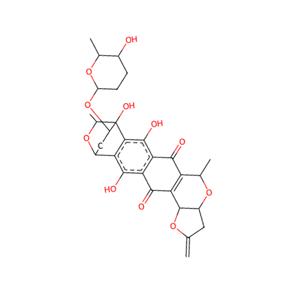 C=C1CC2OC(C)C3=C(C(=O)c4c(O)c5c(c(O)c4C3=O)C3(O)C(C)OC5CC3OC3CCC(O)C(C)O3)C2O1